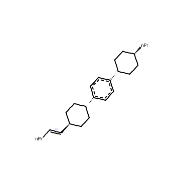 CCC/C=C/[C@H]1CC[C@H](c2ccc([C@H]3CC[C@H](CCC)CC3)cc2)CC1